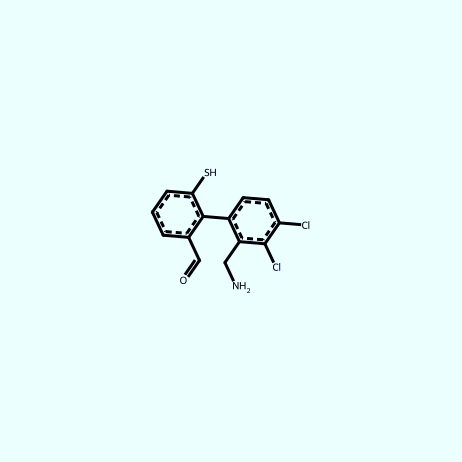 NCc1c(-c2c(S)cccc2C=O)ccc(Cl)c1Cl